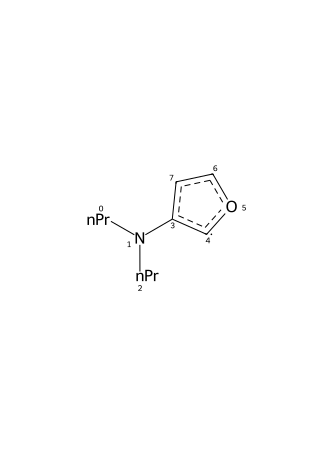 CCCN(CCC)c1[c]occ1